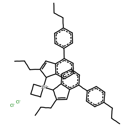 CCCC1=Cc2c(-c3ccc(CCC)cc3)cccc2[CH]1[Zr+2]1([CH]2C(CCC)=Cc3c(-c4ccc(CCC)cc4)cccc32)[CH2]C[CH2]1.[Cl-].[Cl-]